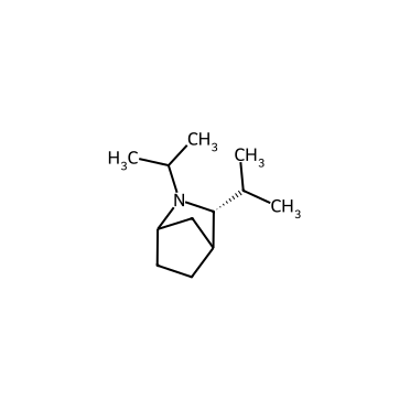 CC(C)[C@@H]1C2CCC(C2)N1C(C)C